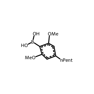 CCCCCc1cc(OC)c(B(O)O)c(OC)c1